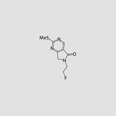 CSc1ncc2c(n1)CN(CCF)C2=O